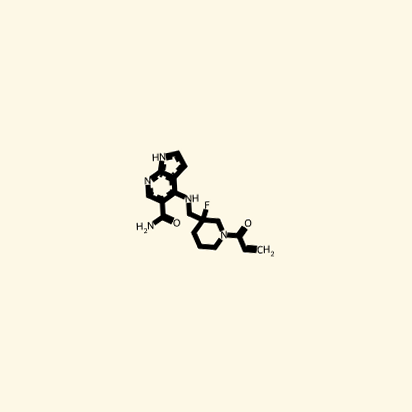 C=CC(=O)N1CCCC(F)(CNc2c(C(N)=O)cnc3[nH]ccc23)C1